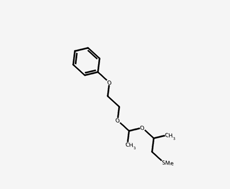 CSCC(C)OC(C)OCCOc1ccccc1